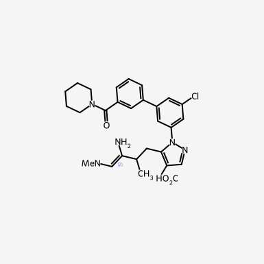 CN/C=C(\N)C(C)Cc1c(C(=O)O)cnn1-c1cc(Cl)cc(-c2cccc(C(=O)N3CCCCC3)c2)c1